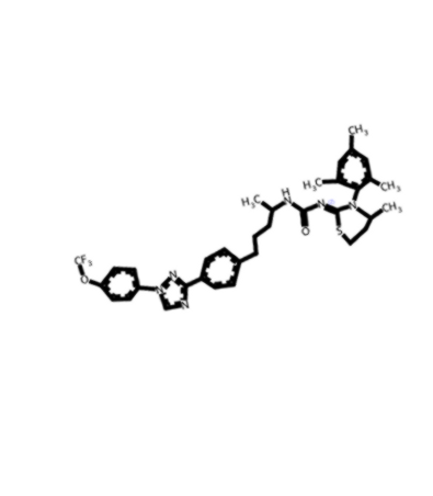 Cc1cc(C)c(N2/C(=N/C(=O)NC(C)CCCc3ccc(-c4ncn(-c5ccc(OC(F)(F)F)cc5)n4)cc3)SCCC2C)c(C)c1